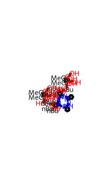 CCCCOc1c(OCCCC)c(OCCCC)c2c(c1OCCCC)-c1nc-2nc2[nH]c(nc3nc(nc4[nH]c(n1)c1ccccc41)-c1ccccc1-3)c1c(OCCCC)c(OCCCC)c(OCCCC)c(OCCCC)c21.COCC(OCCO)C(O)(C(O)CO)C(COC)OCCO.COCC(OCCO)C(O)(C(O)CO)C(COC)OCCO